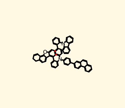 C1=Cc2c(ccc3c2oc2cccc(-c4ccccc4N(c4ccc(-c5ccc6c(ccc7ccccc76)c5)cc4)c4ccc(-c5ccccc5-n5c6ccccc6c6ccccc65)cc4)c23)CC1